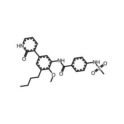 CCCCc1cc(-c2ccc[nH]c2=O)cc(NC(=O)c2ccc(NS(C)(=O)=O)cc2)c1OC